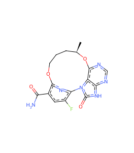 C[C@@H]1CCCOc2nc(c(F)cc2C(N)=O)-n2c(=O)[nH]c3ncnc(c32)O1